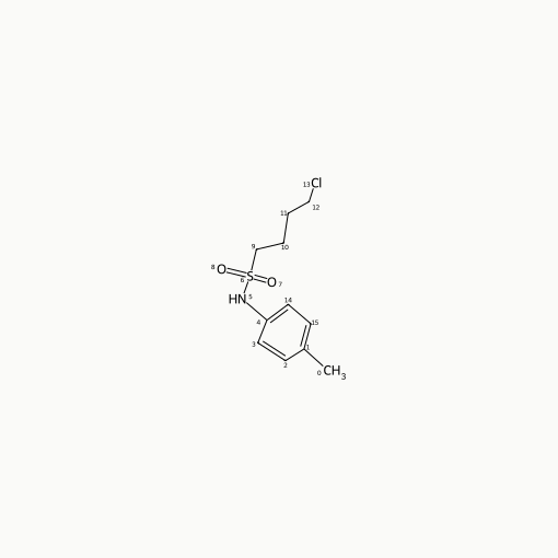 Cc1ccc(NS(=O)(=O)CCCCCl)cc1